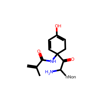 C=C(C)C(=O)NC1(C(=O)C(N)CCCCCCCCC)C=CC(O)=CC1